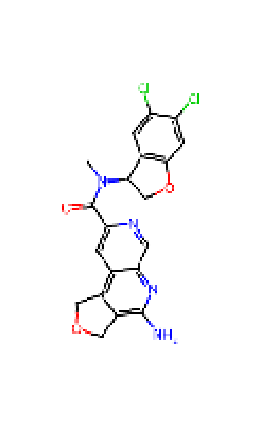 CN(C(=O)c1cc2c3c(c(N)nc2cn1)COC3)[C@@H]1COc2cc(Cl)c(Cl)cc21